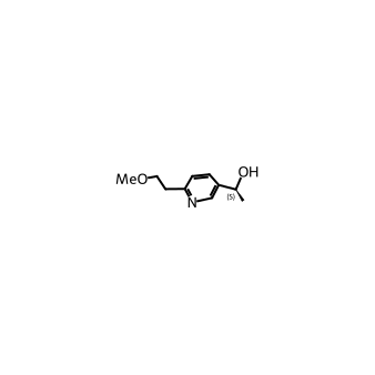 COCCc1ccc([C@H](C)O)cn1